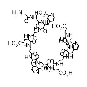 NCCC(=O)NCCC(=O)NC(Cc1ccnc(C(=O)O)c1)C(=O)NCCC(=O)NC(CCC(=O)O)C(=O)NCCC(=O)NC(Cc1ccnc(C(=O)O)c1)C(=O)NCCC(=O)NC(CCC(=O)O)C(=O)NCCC(=O)NC(Cc1ccnc(C(=O)O)c1)C(=O)NCCC(=O)NCCC(=O)O